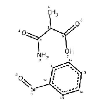 CC(C(N)=O)C(=O)O.O=[Si]c1ccccc1